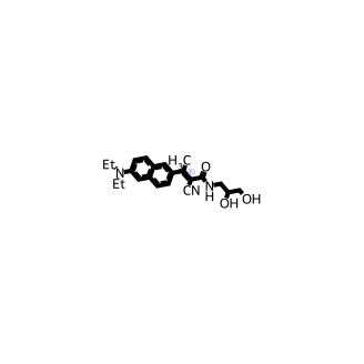 CCN(CC)c1ccc2cc(/C(C)=C(\C#N)C(=O)NCC(O)CO)ccc2c1